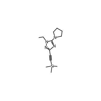 CCn1nc(C#C[Si](C)(C)C)nc1N1CCCC1